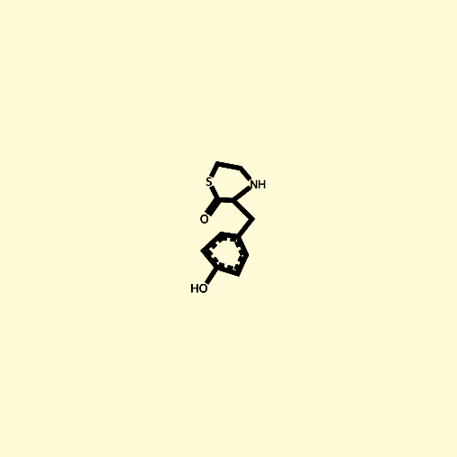 O=C1SCCNC1Cc1ccc(O)cc1